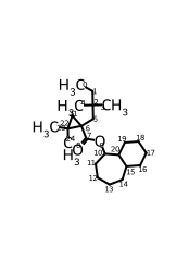 CCC(C)(C)CC1(C(=O)OC2CCCCC3CCCCC32)CC1(C)C